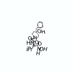 CC(C)[C@@H](NS(=O)(=O)N1CCC(O)(Cc2ccccc2)CC1)C(=O)NO